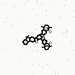 CC12CCC(C)(CC1)c1cc3c4cc5c6cc7c(cc6oc5c5c6cc8c(cc6n(c3cc1C2=O)c45)C(=O)C1(C)CCC8(C)CC1)-c1ccccc1C7(C)C